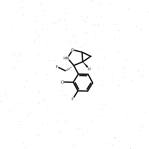 FC[C@]1(c2cccc(F)c2Cl)NOC2C[C@@H]21